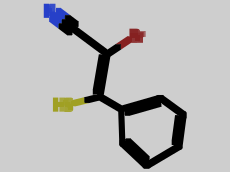 N#CC(Br)=C(S)c1ccccc1